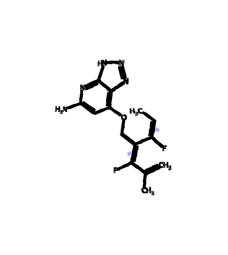 C=C(C)/C(F)=C(COc1cc(N)nc2[nH]nnc12)\C(F)=C/C